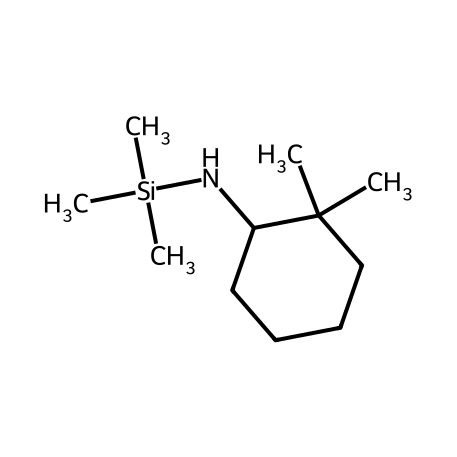 CC1(C)CCCCC1N[Si](C)(C)C